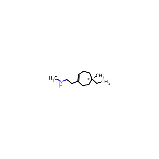 CC[C@]1(C)CCC=C(CCNC)CC1